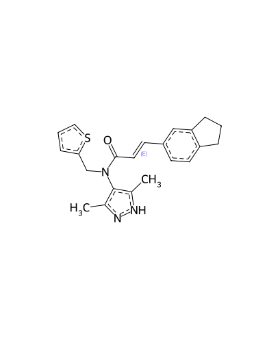 Cc1n[nH]c(C)c1N(Cc1cccs1)C(=O)/C=C/c1ccc2c(c1)CCC2